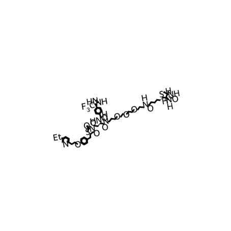 CCc1ccc(CCOc2ccc(CC3SC(=O)N(C(=O)C[C@@H](NC(=O)c4ccc(C5(C(F)(F)F)NN5)cc4)C(=O)NCCCOCCOCCOCCCNC(=O)CCCC[C@@H]4SC[C@@H]5NC(=O)N[C@@H]54)C3=O)cc2)nc1